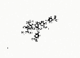 CC(O)[C@H]1C(=O)N2C(C(=O)O)=C(S[C@H]3C[C@@H](C(O)CN(C)C(=O)OCc4ccc([N+](=O)[O-])cc4)N(C(=O)OCc4ccc([N+](=O)[O-])cc4)C3)[C@H](C)[C@H]12